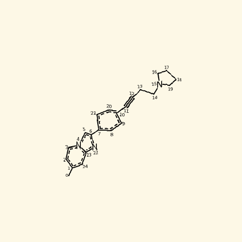 Cc1ccn2cc(-c3ccc(C#CCCN4CCCC4)cc3)nc2c1